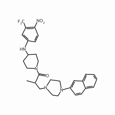 CC(CN1CCN(c2ccc3ccccc3c2)CC1)C(=O)N1CCC(Nc2ccc([N+](=O)[O-])c(C(F)(F)F)c2)CC1